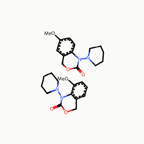 COc1ccc2c(c1)COC(=O)N2N1CCCCC1.COc1cccc2c1N(N1CCCCC1)C(=O)OC2